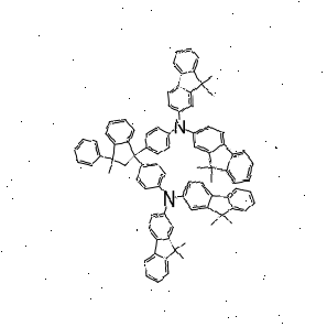 CC1(C)c2ccccc2-c2ccc(N(c3ccc(C4(c5ccc(N(c6ccc7c(c6)C(C)(C)c6ccccc6-7)c6ccc7c(c6)C(C)(C)c6ccccc6-7)cc5)CC(C)(c5ccccc5)c5ccccc54)cc3)c3ccc4c(c3)C(C)(C)c3ccccc3-4)cc21